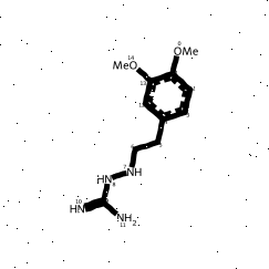 COc1ccc(CCNNC(=N)N)cc1OC